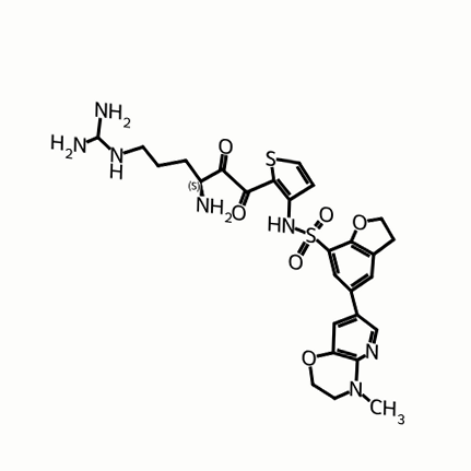 CN1CCOc2cc(-c3cc4c(c(S(=O)(=O)Nc5ccsc5C(=O)C(=O)[C@@H](N)CCCNC(N)N)c3)OCC4)cnc21